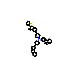 CC1(C)c2ccccc2-c2ccc(N(c3ccc(-c4ccc5c(c4)-c4ccccc4C5)cc3)c3ccc(-c4ccc5c(c4)C(C)(C)c4c-5sc5ccccc45)cc3)cc21